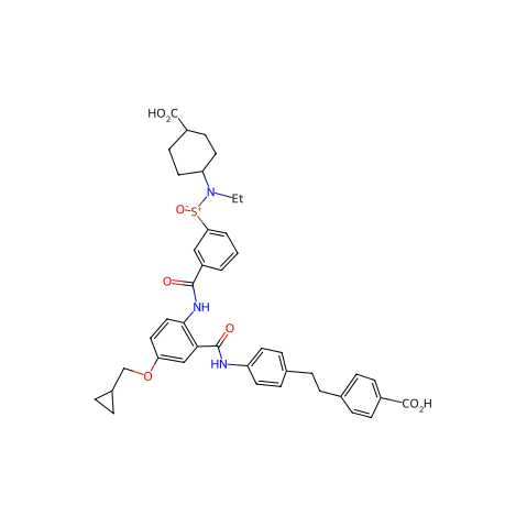 CCN(C1CCC(C(=O)O)CC1)[S+]([O-])c1cccc(C(=O)Nc2ccc(OCC3CC3)cc2C(=O)Nc2ccc(CCc3ccc(C(=O)O)cc3)cc2)c1